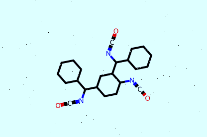 O=C=NC1CCC(C(N=C=O)C2CCCCC2)CC1C(N=C=O)C1CCCCC1